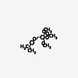 CCC(C)c1ccc(OCCc2cc(COC)c(OC(C)=O)c(COC)c2)cc1